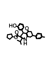 Cc1ccc(C2CC(=O)C3=C(C2)NC(C(C)C)=C(C(=O)OC2CCCC2)C3c2cccc(O)c2)cc1